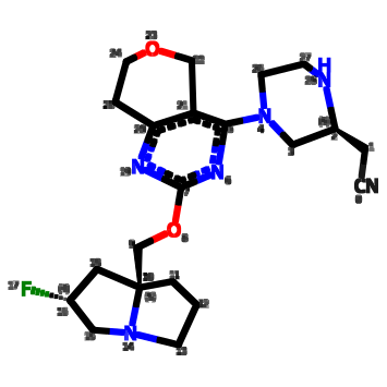 N#CC[C@H]1CN(c2nc(OC[C@@]34CCCN3C[C@H](F)C4)nc3c2COCC3)CCN1